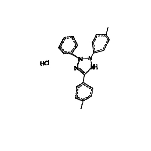 Cc1ccc(C2=NN(c3ccccc3)N(c3ccc(C)cc3)N2)cc1.Cl